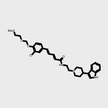 COCCOCOc1ccc(C=CC=CC(=O)NCCN2CCC(c3c[nH]c4ccccc34)CC2)cc1Cl